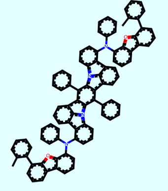 Cc1ccccc1-c1cccc2c1oc1c(N(c3ccccc3)c3cccc4c3c3cccc5c6c(-c7ccccc7)c7c(c(-c8ccccc8)c6n4c35)c3cccc4c5c(N(c6ccccc6)c6cccc8c6oc6c(-c9ccccc9C)cccc68)cccc5n7c43)cccc12